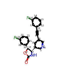 O=C1N[C@H](c2cncc(C#Cc3cccc(F)c3)c2)[C@@H](c2cccc(F)c2)O1